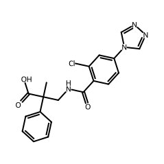 CC(CNC(=O)c1ccc(-n2cnnc2)cc1Cl)(C(=O)O)c1ccccc1